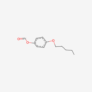 CCCCCOc1ccc(O[C]=O)cc1